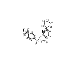 CC(CCC(C)c1ccc(C(F)(F)F)cn1)c1ccc(C2CCCCC2)nc1